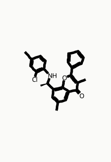 Cc1ccc(N[C@H](C)c2cc(C)cc3c(=O)c(C)c(-c4ccccc4)oc23)c(Cl)c1